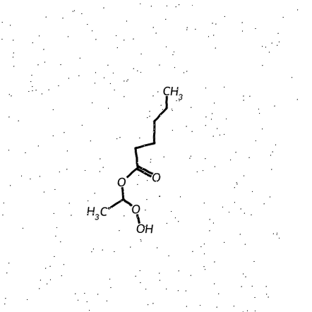 CCCCCC(=O)OC(C)OO